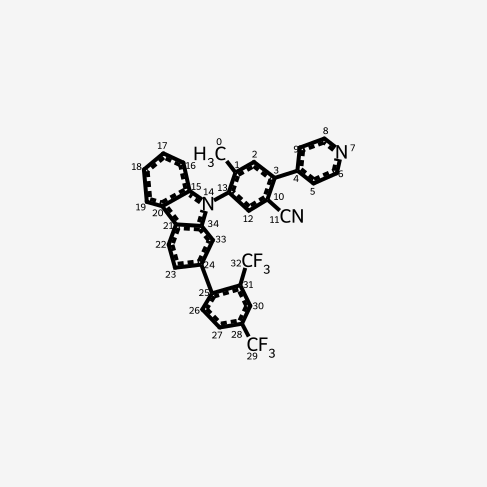 Cc1cc(-c2ccncc2)c(C#N)cc1-n1c2ccccc2c2ccc(-c3ccc(C(F)(F)F)cc3C(F)(F)F)cc21